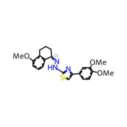 COc1ccc(-c2csc(N/N=C3/CCCc4c(OC)cccc43)n2)cc1OC